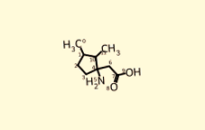 CC1CCC(N)(CC(=O)O)C1C